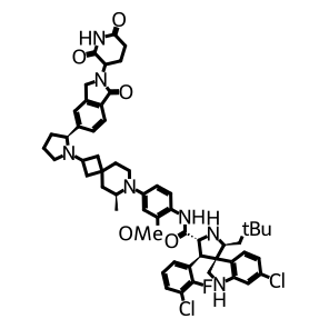 COc1cc(N2CCC3(CC(N4CCC[C@H]4c4ccc5c(c4)CN(C4CCC(=O)NC4=O)C5=O)C3)C[C@@H]2C)ccc1NC(=O)[C@@H]1N[C@@H](CC(C)(C)C)[C@@]2(CNc3cc(Cl)ccc32)[C@H]1c1cccc(Cl)c1F